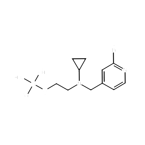 CC(C)(C)[Si](C)(C)OCCN(Cc1ccnc(Br)c1)C1CC1